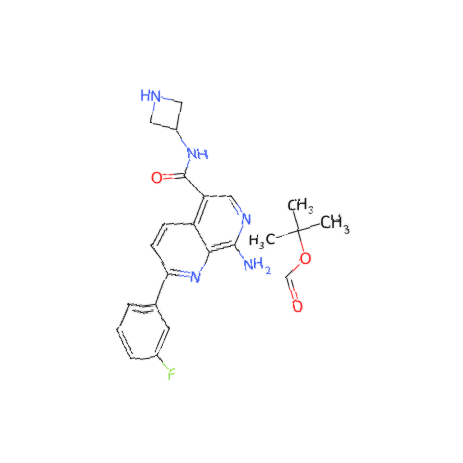 CC(C)(C)OC=O.Nc1ncc(C(=O)NC2CNC2)c2ccc(-c3cccc(F)c3)nc12